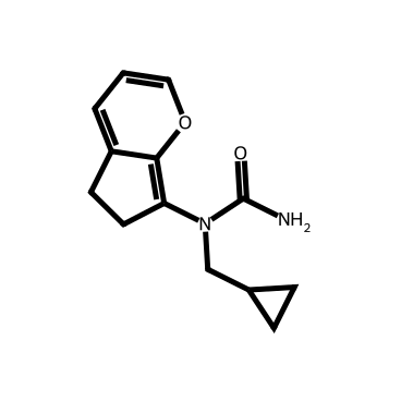 NC(=O)N(CC1CC1)C1=C2OC=CC=C2CC1